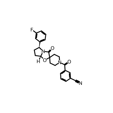 N#Cc1cccc(C(=O)N2CCC3(CC2)O[C@@H]2CC[C@@H](c4cccc(F)c4)N2C3=O)c1